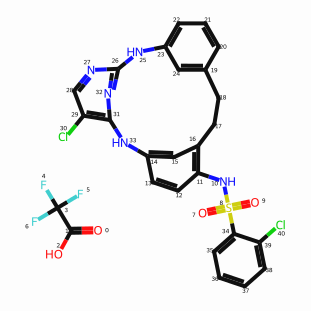 O=C(O)C(F)(F)F.O=S(=O)(Nc1ccc2cc1CCc1cccc(c1)Nc1ncc(Cl)c(n1)N2)c1ccccc1Cl